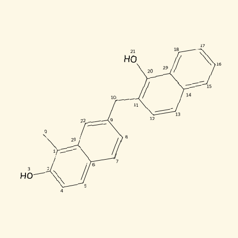 Cc1c(O)ccc2ccc(Cc3ccc4ccccc4c3O)cc12